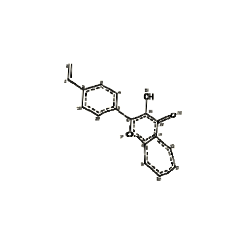 C=Cc1ccc(-c2oc3ccccc3c(=O)c2O)cc1